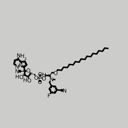 CCCCCCCCCCCCCCCCCCOC[C@H](COP(=O)(O)OC[C@H]1O[C@@](C#N)(c2ccc3c(N)ccnn23)[C@H](O)[C@@H]1O)N(C)Cc1cc(F)cc(C#N)c1